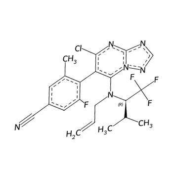 C=CCN(c1c(-c2c(C)cc(C#N)cc2F)c(Cl)nc2ncnn12)[C@H](C(C)C)C(F)(F)F